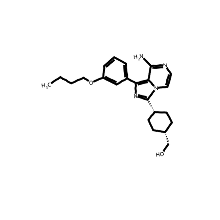 CCCCOc1cccc(-c2nc([C@H]3CC[C@@H](CO)CC3)n3ccnc(N)c23)c1